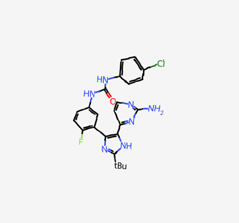 CC(C)(C)c1nc(-c2cc(NC(=O)Nc3ccc(Cl)cc3)ccc2F)c(-c2ccnc(N)n2)[nH]1